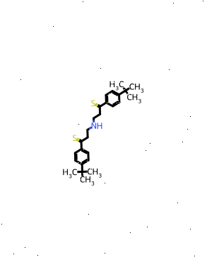 CC(C)(C)c1ccc(C(=S)CCNCCC(=S)c2ccc(C(C)(C)C)cc2)cc1